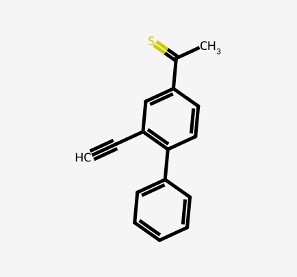 C#Cc1cc(C(C)=S)ccc1-c1ccccc1